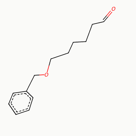 O=CCCCCCOCc1ccccc1